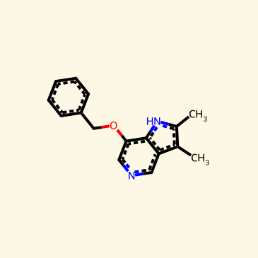 Cc1[nH]c2c(OCc3ccccc3)cncc2c1C